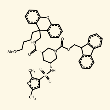 COCCCCC1(CNC(=O)[C@H]2C[C@@H](NS(=O)(=O)c3cc(C)sc3C)CN(C(=O)OCC3c4ccccc4-c4ccccc43)C2)c2ccccc2Oc2ccccc21